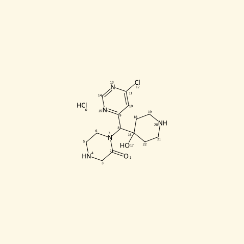 Cl.O=C1CNCCN1C(c1cc(Cl)ncn1)C1(O)CCNCC1